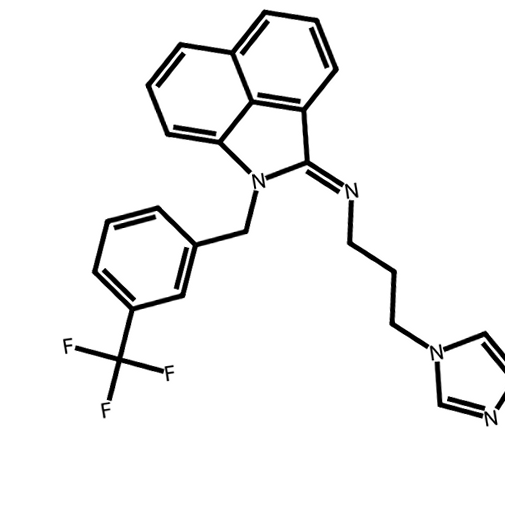 FC(F)(F)c1cccc(CN2C(=NCCCn3ccnc3)c3cccc4cccc2c34)c1